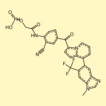 Cn1cnc2cc(-c3cccn4c(C(=O)c5ccc(NC(=O)CO[PH](=O)O)c(C#N)c5)ccc34)c(C(F)(F)F)cc21